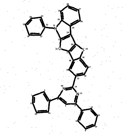 c1ccc(-c2cc(-c3ccccc3)nc(-c3ccc4sc5c(oc6c5c5ccccc5n6-c5ccccc5)c4c3)n2)cc1